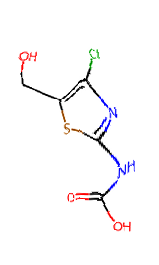 O=C(O)Nc1nc(Cl)c(CO)s1